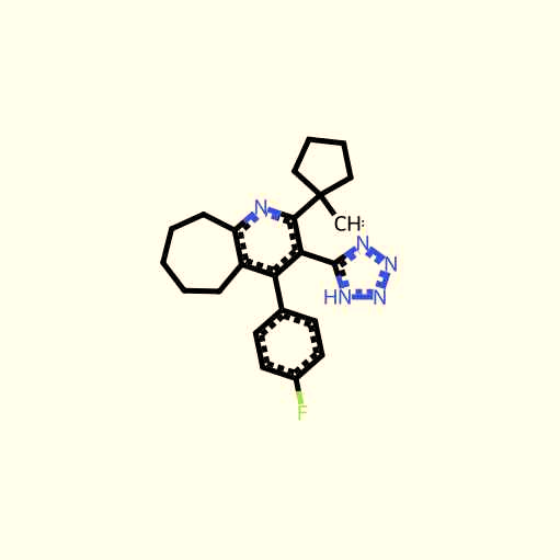 [CH]C1(c2nc3c(c(-c4ccc(F)cc4)c2-c2nnn[nH]2)CCCCC3)CCCC1